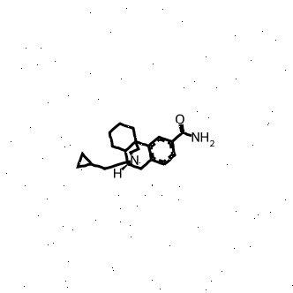 NC(=O)c1ccc2c(c1)C13CCCCC1[C@@H](C2)N(CC1CC1)CC3